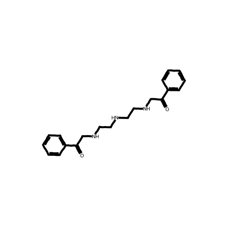 O=C(CNCCNCCNCC(=O)c1ccccc1)c1ccccc1